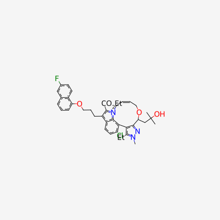 CCOC(=O)c1c(CCCOc2cccc3cc(F)ccc23)c2ccc(Cl)c3c2n1C/C=C\COC(CC(C)(C)O)c1nn(C)c(CC)c1-3